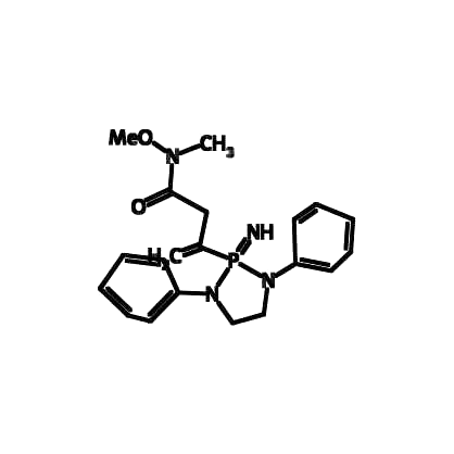 C=C(CC(=O)N(C)OC)P1(=N)N(c2ccccc2)CCN1c1ccccc1